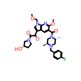 COCn1cc(C(=O)C(=O)N2CC[C@H](O)C2)c2cc(C(=O)N3C[C@H](C)N(Cc4ccc(F)cc4)C[C@H]3C)c(OC)nc21